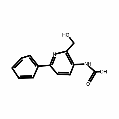 O=C(O)Nc1ccc(-c2ccccc2)nc1CO